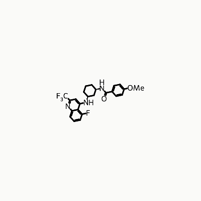 COc1ccc(C(=O)N[C@@H]2CCC[C@H](Nc3cc(C(F)(F)F)nc4cccc(F)c34)C2)cc1